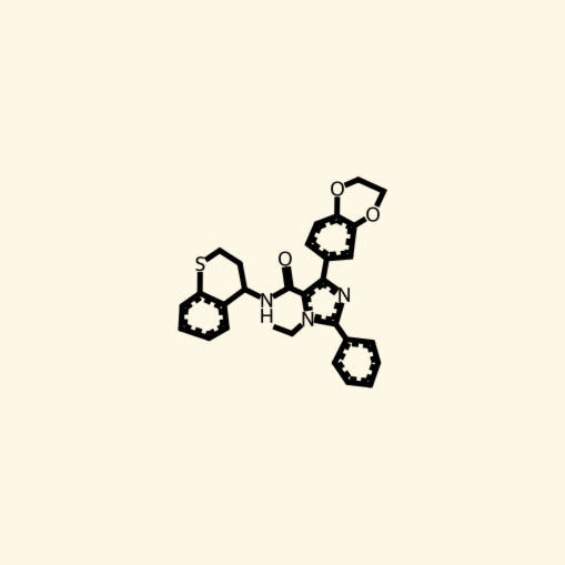 CCn1c(-c2ccccc2)nc(-c2ccc3c(c2)OCCO3)c1C(=O)NC1CCSc2ccccc21